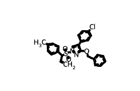 C=CC(c1ccc(C)cc1)S(=O)(=O)n1cc(-c2ccc(Cl)cc2)c(OCc2ccccc2)n1